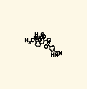 COC(=O)C(Cc1cccc(C(C)=N)c1)C1CCCN1C(=O)c1ccc(-c2cnc[nH]2)cc1